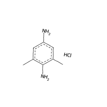 Cc1cc(N)cc(C)c1N.Cl